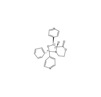 O=C1OCCN2[C@@H]1[C@H](c1ccncc1)O[C@]2(c1ccccc1)c1ccncc1